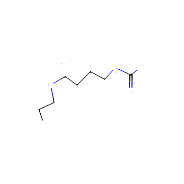 Cl.N=C(N)NCCC[C@H](NCCC(=O)O)C(=O)O